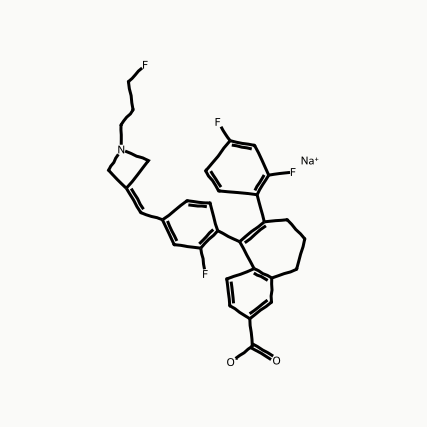 O=C([O-])c1ccc2c(c1)CCCC(c1ccc(F)cc1F)=C2c1ccc(C=C2CN(CCCF)C2)cc1F.[Na+]